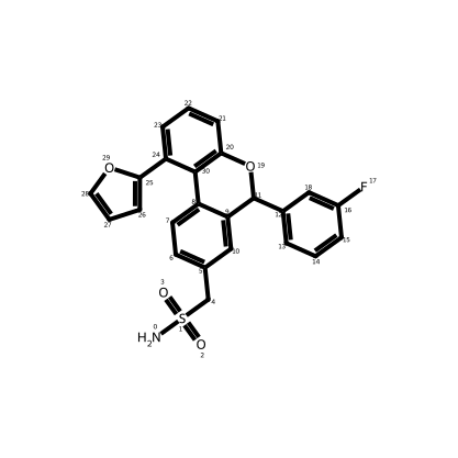 NS(=O)(=O)Cc1ccc2c(c1)C(c1cccc(F)c1)Oc1cccc(-c3ccco3)c1-2